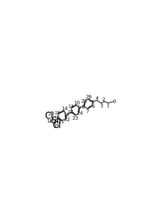 CCCCCc1ccc(-c2ccc(-c3ccc([Si](C)(Cl)Cl)cc3)cc2)cc1